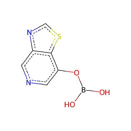 OB(O)Oc1cncc2ncsc12